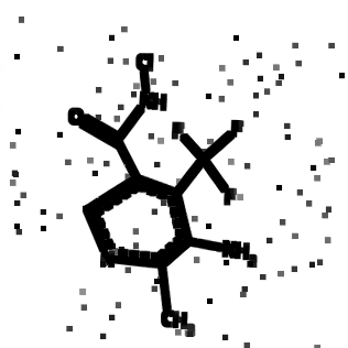 Cc1ncc(C(=O)NCl)c(C(F)(F)F)c1N